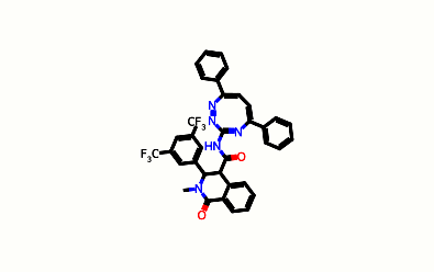 CN1C(=O)c2ccccc2C(C(=O)NC2=N/C(c3ccccc3)=C\C=C(c3ccccc3)/N=N\2)C1c1cc(C(F)(F)F)cc(C(F)(F)F)c1